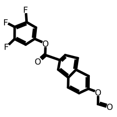 O=COc1ccc2cc(C(=O)Oc3cc(F)c(F)c(F)c3)ccc2c1